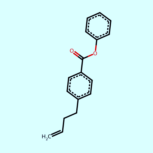 C=CCCc1ccc(C(=O)Oc2ccccc2)cc1